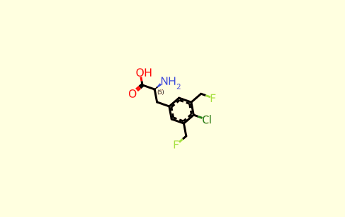 N[C@@H](Cc1cc(CF)c(Cl)c(CF)c1)C(=O)O